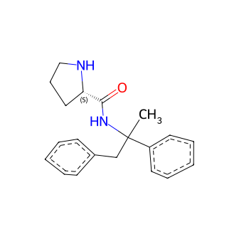 CC(Cc1ccccc1)(NC(=O)[C@@H]1CCCN1)c1ccccc1